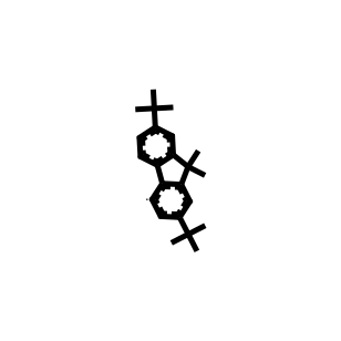 CC(C)(C)c1c[c]c2c(c1)C(C)(C)c1cc(C(C)(C)C)ccc1-2